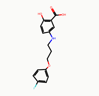 O=C(O)c1cc(NCCCOc2ccc(F)cc2)ccc1O